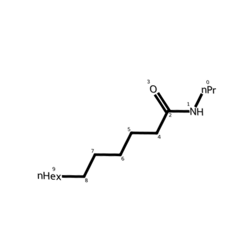 [CH2]CCNC(=O)CCCCCCCCCCC